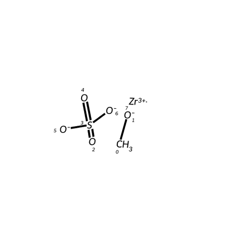 C[O-].O=S(=O)([O-])[O-].[Zr+3]